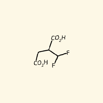 O=C(O)CC(C(=O)O)C(F)F